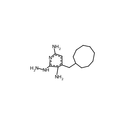 NNc1nc(N)cc(CC2CCCCCCCC2)c1N